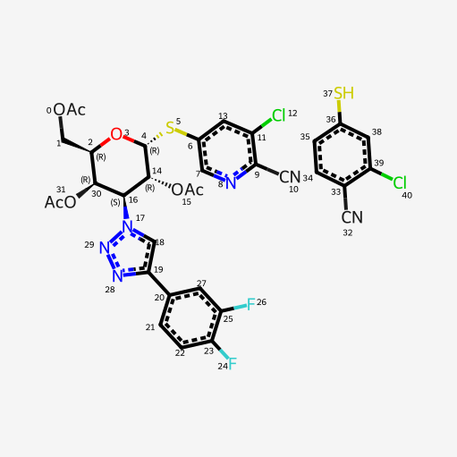 CC(=O)OC[C@H]1O[C@H](Sc2cnc(C#N)c(Cl)c2)[C@H](OC(C)=O)[C@@H](n2cc(-c3ccc(F)c(F)c3)nn2)[C@H]1OC(C)=O.N#Cc1ccc(S)cc1Cl